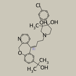 CC(C)(O)c1ccc2c(c1)/C(=C/CCN1CCC(O)(c3ccc(Cl)cc3)C(C)(O)C1)c1cccnc1CO2